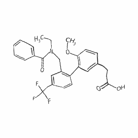 CCN(Cc1cc(C(F)(F)F)ccc1-c1cc(CC(=O)O)ccc1OC)C(=O)c1ccccc1